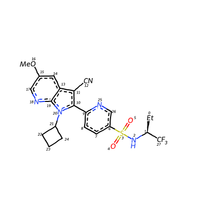 CC[C@H](NS(=O)(=O)c1ccc(-c2c(C#N)c3cc(OC)cnc3n2C2CCC2)nc1)C(F)(F)F